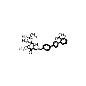 COC(=O)C(CSCc1ccc(-c2ccc(-c3ccccc3C(C)=O)cc2)cc1)NC(=O)OC(C)(C)C